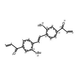 C=CC(=O)c1ccc(/C=C/c2ccc(C(=O)C=C)cc2CCCC)c(CCCC)c1